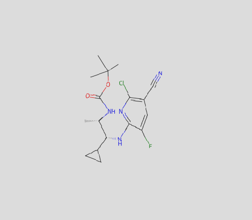 C[C@H](NC(=O)OC(C)(C)C)[C@H](Nc1nc(Cl)c(C#N)cc1F)C1CC1